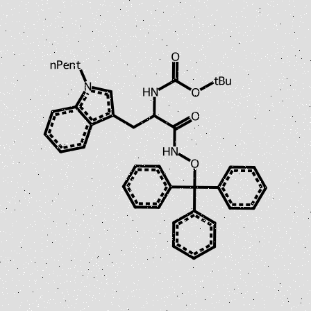 CCCCCn1cc(CC(NC(=O)OC(C)(C)C)C(=O)NOC(c2ccccc2)(c2ccccc2)c2ccccc2)c2ccccc21